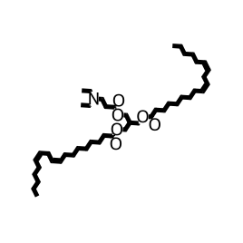 CCCCC/C=C\C/C=C\CCCCCCCC(=O)OCC(COC(=O)CCCCCCC/C=C\C/C=C\CCCCC)COC(=O)CCN(CC)CC